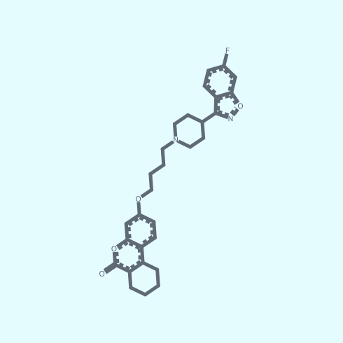 O=c1oc2cc(OCCCCN3CCC(c4noc5cc(F)ccc45)CC3)ccc2c2c1CCCC2